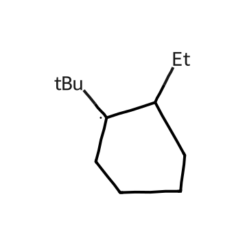 CCC1CCCC[C]1C(C)(C)C